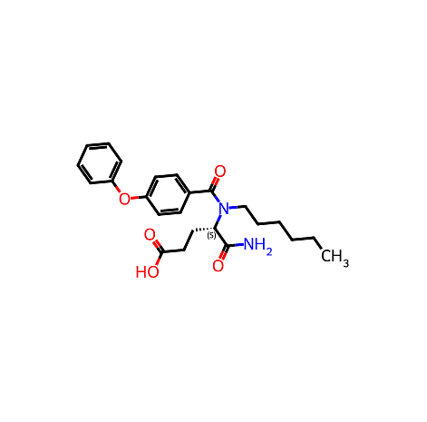 CCCCCCN(C(=O)c1ccc(Oc2ccccc2)cc1)[C@@H](CCC(=O)O)C(N)=O